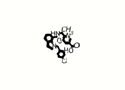 CC(NC(=O)c1cccc2ccn(Cc3ccc(Cl)cc3)c12)c1ccc(C(=O)O)cn1